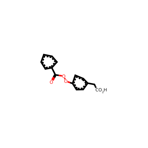 O=C(O)Cc1ccc(OOC(=O)c2ccccc2)cc1